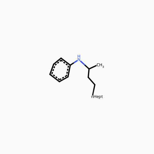 CCCCCCCCCC(C)Nc1ccccc1